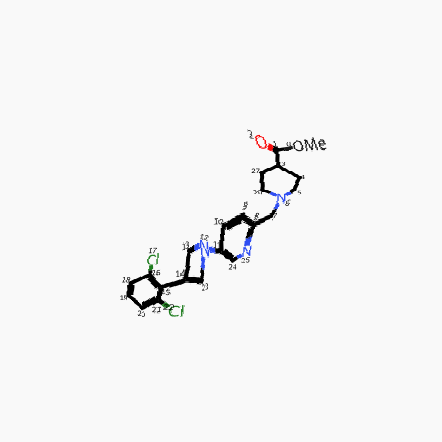 COC(=O)C1CCN(Cc2ccc(N3CC(c4c(Cl)cccc4Cl)C3)cn2)CC1